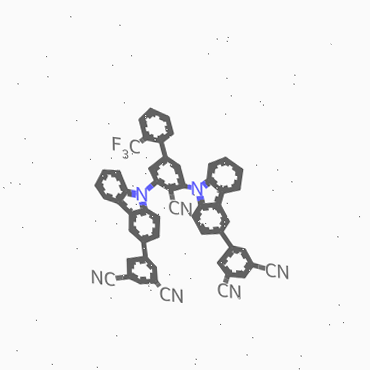 N#Cc1cc(C#N)cc(-c2ccc3c(c2)c2ccccc2n3-c2cc(-c3ccccc3C(F)(F)F)cc(-n3c4ccccc4c4cc(-c5cc(C#N)cc(C#N)c5)ccc43)c2C#N)c1